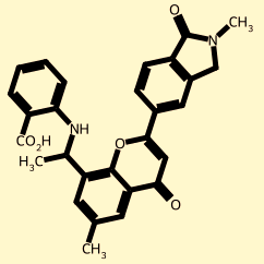 Cc1cc(C(C)Nc2ccccc2C(=O)O)c2oc(-c3ccc4c(c3)CN(C)C4=O)cc(=O)c2c1